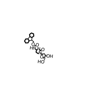 O=C(Nc1ccn([C@H]2C[C@H](O)[C@@H](CO)O2)c(=O)n1)OCC1c2ccccc2-c2ccccc21